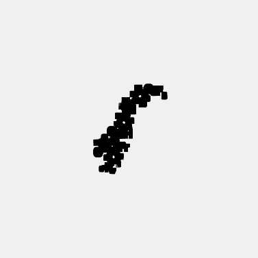 CC(C)c1ccc(N(C)C)cc1N1C(=O)CS/C1=N\C(=O)Nc1ccc(-n2cnc(-c3ccc(OC(F)(F)F)cc3)n2)cc1